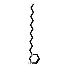 CCCCCCCCCCCCN1CC=CNC1